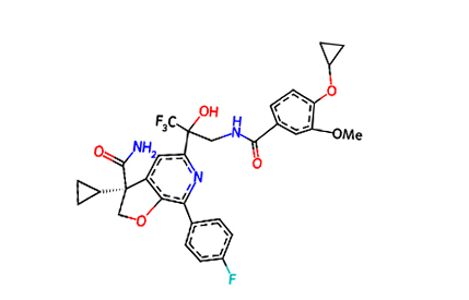 COc1cc(C(=O)NCC(O)(c2cc3c(c(-c4ccc(F)cc4)n2)OC[C@]3(C(N)=O)C2CC2)C(F)(F)F)ccc1OC1CC1